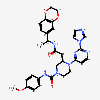 COc1ccc(NC(=O)N2CCN(c3ccnc(-n4ccnc4)n3)C(CC(=O)NC(C)c3ccc4c(c3)OCCO4)C2)cc1